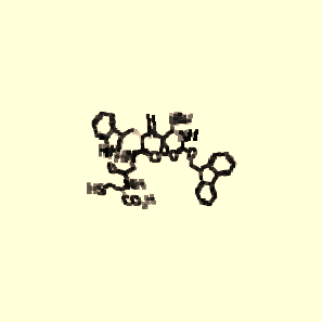 CC[C@H](C)[C@H](NC(=O)OCC1c2ccccc2-c2ccccc21)C(=O)N[C@@H](Cc1c[nH]c2ccccc12)C(=O)NCC(=O)N[C@@H](CS)C(=O)O